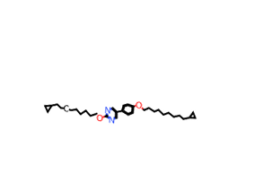 c1cc(-c2cnc(OCCCCCCCCCC3CC3)nc2)ccc1OCCCCCCCCCC1CC1